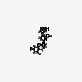 COc1nc(N2CCN(Cc3ccc(F)cc3C)C2=O)ccc1-c1cn[nH]c1